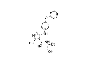 CCC(CO)NC(=N)c1c(O)nsc1Nc1ccc(Oc2ccccc2)cc1